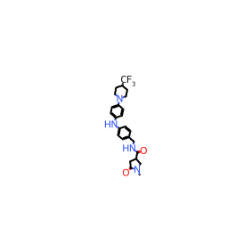 CN1CC(C(=O)NCc2ccc(Nc3ccc(N4CCC(C(F)(F)F)CC4)cc3)cc2)CC1=O